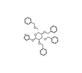 c1ccc(COC[C@H]2O[C@H](Oc3ccsc3)[C@H](OCc3ccccc3)[C@@H](OCc3ccccc3)[C@@H]2OCc2ccccc2)cc1